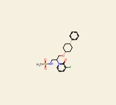 CS(=O)(=O)NCC(CO[C@H]1CC[C@@H](c2ccccc2)CC1)n1cccc(F)c1=O